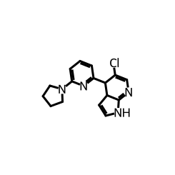 ClC1=CN=C2NC=CC2C1c1cccc(N2CCCC2)n1